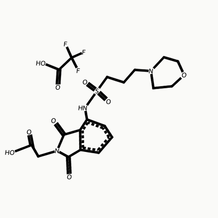 O=C(O)C(F)(F)F.O=C(O)CN1C(=O)c2cccc(NS(=O)(=O)CCCN3CCOCC3)c2C1=O